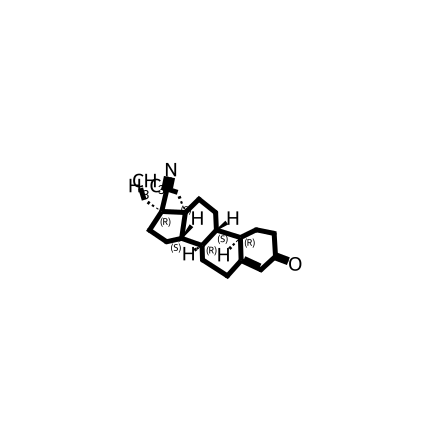 CC[C@@]1(C#N)CC[C@H]2[C@@H]3CCC4=CC(=O)CC[C@@H]4[C@H]3CC[C@@]21CC